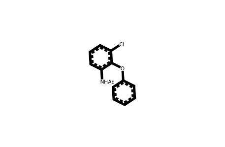 CC(=O)Nc1cccc(Cl)c1Oc1ccccc1